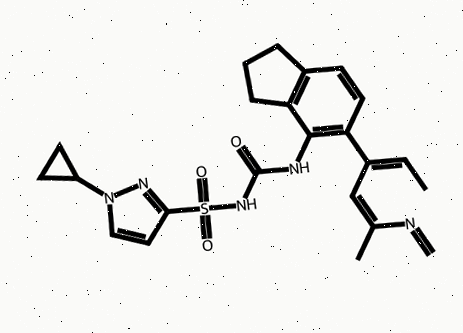 C=N/C(C)=C\C(=C/C)c1ccc2c(c1NC(=O)NS(=O)(=O)c1ccn(C3CC3)n1)CCC2